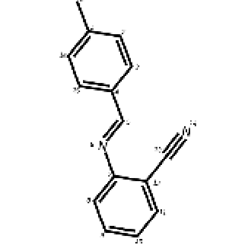 Cc1ccc(/C=N/c2ccccc2C#N)cc1